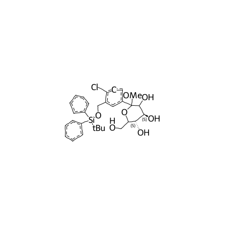 COC1(c2ccc(Cl)c(CO[Si](c3ccccc3)(c3ccccc3)C(C)(C)C)c2)OC(CO)[C@@H](O)[C@H](O)C1O